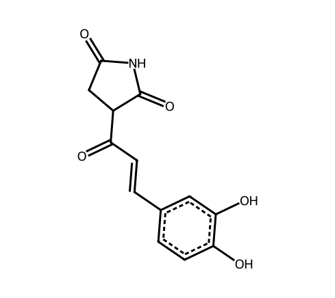 O=C1CC(C(=O)C=Cc2ccc(O)c(O)c2)C(=O)N1